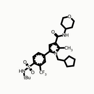 Cc1c(C(=O)NC2CCOCC2)cc(-c2ccc(S(=O)(=O)NC(C)(C)C)c(C(F)(F)F)c2)n1CC1CCCC1